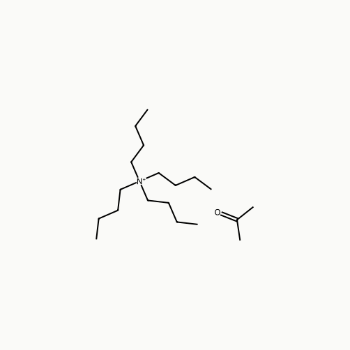 CC(C)=O.CCCC[N+](CCCC)(CCCC)CCCC